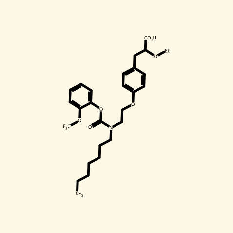 CCOC(Cc1ccc(OCCN(CCCCCCC(F)(F)F)C(=O)Oc2ccccc2OC(F)(F)F)cc1)C(=O)O